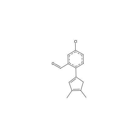 CC1=C(C)CC(c2ccc(Cl)cc2C=O)=C1